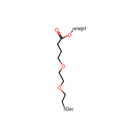 CCCCCCCCCCCCOCCOCCCC(=O)OCCCCCCC